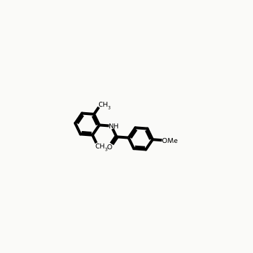 COc1ccc(C(=O)Nc2c(C)cccc2C)cc1